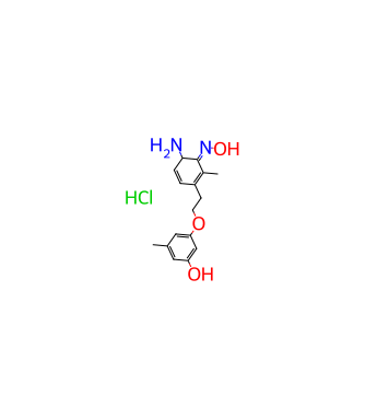 CC1=C(CCOc2cc(C)cc(O)c2)C=CC(N)C1=NO.Cl